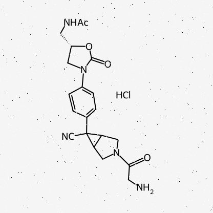 CC(=O)NC[C@H]1CN(c2ccc(C3(C#N)C4CN(C(=O)CN)CC43)cc2)C(=O)O1.Cl